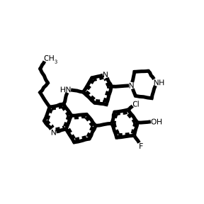 CCCCc1cnc2ccc(-c3cc(F)c(O)c(Cl)c3)cc2c1Nc1ccc(N2CCNCC2)nc1